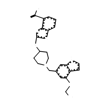 CCOc1cc(CN2CCC(Nc3nc4cccc(C(=O)O)c4o3)CC2)cc2[nH]ccc12